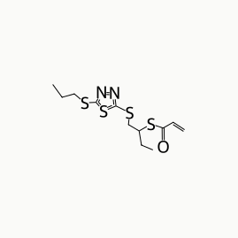 C=CC(=O)SC(CC)CSc1nnc(SCCC)s1